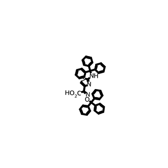 O=C(O)/C(=N\OC(c1ccccc1)(c1ccccc1)c1ccccc1)c1csc(NC(c2ccccc2)(c2ccccc2)c2ccccc2)n1